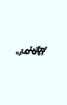 CC(F)CN1CCC(=C(F)c2cccc(NC(=O)c3c(F)cc(F)cc3F)n2)CC1